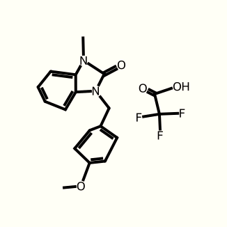 COc1ccc(Cn2c(=O)n(C)c3ccccc32)cc1.O=C(O)C(F)(F)F